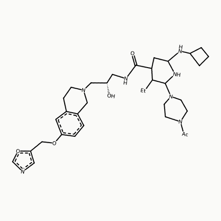 CCC1C(C(=O)NC[C@H](O)CN2CCc3cc(OCc4cnco4)ccc3C2)CC(NC2CCC2)NC1N1CCN(C(C)=O)CC1